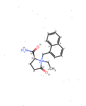 CC[N+]1(Cc2cccc3ccccc23)C(=O)CC[C@H]1C(N)=O